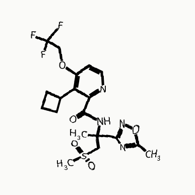 Cc1nc(C(C)(CS(C)(=O)=O)NC(=O)c2nccc(OCC(F)(F)F)c2C2CCC2)no1